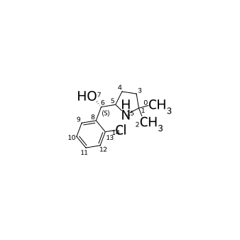 CC1(C)CCC([C@@H](O)c2ccccc2Cl)N1